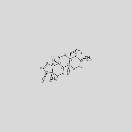 C=C[C@]12CC[C@@H]3C(CC[C@]4(C)C(=O)C=CC34)[C@H]1CC[C@H](C)C2